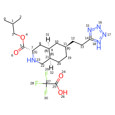 CC(C)COC(=O)[C@@H]1C[C@H]2C[C@@H](CCc3nnn[nH]3)CC[C@H]2CN1.O=C(O)C(F)(F)F